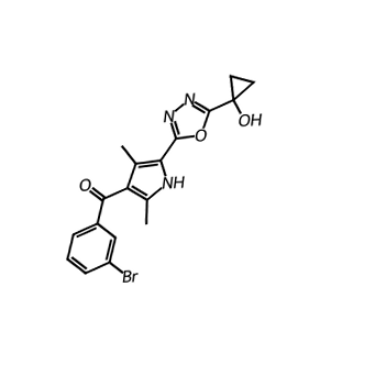 Cc1[nH]c(-c2nnc(C3(O)CC3)o2)c(C)c1C(=O)c1cccc(Br)c1